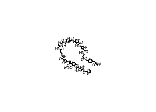 CCNC(=O)Cc1ccc(COC(=O)CCNC(=O)c2cc(NC(=O)c3cc(NC(=O)c4cc(NC(=O)c5nc(NC(=O)CCCNC(=O)c6cc(NC(=O)c7ccc8nc(-c9nc(NC(=O)c%10nccn%10C)cn9C)[nH]c8c7OC)cn6C)cn5C)cn4C)cn3C)cn2C)cc1